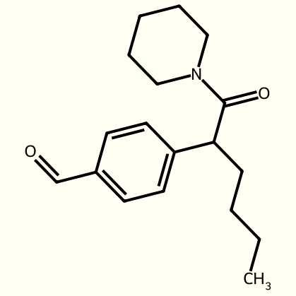 CCCCC(C(=O)N1CCCCC1)c1ccc(C=O)cc1